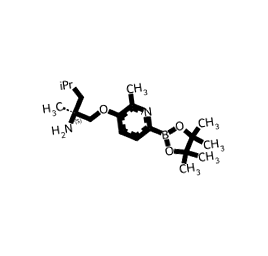 Cc1nc(B2OC(C)(C)C(C)(C)O2)ccc1OC[C@@](C)(N)CC(C)C